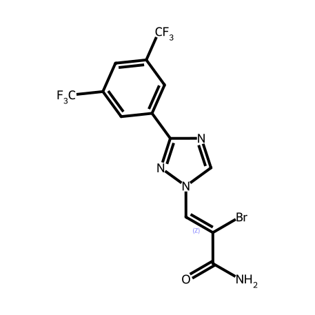 NC(=O)/C(Br)=C/n1cnc(-c2cc(C(F)(F)F)cc(C(F)(F)F)c2)n1